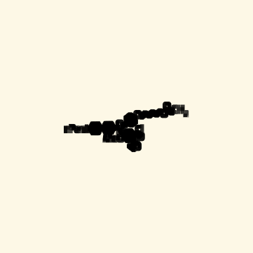 C=CC(=O)OCCCCCCOc1ccc(-c2nnc(-c3ccc(-c4ccc(CCCCC)cc4)cc3)o2)cc1.COc1ccc(C(=O)Cl)cc1.c1conn1